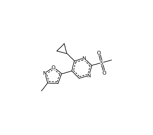 Cc1cc(-c2cnc(S(C)(=O)=O)nc2C2CC2)on1